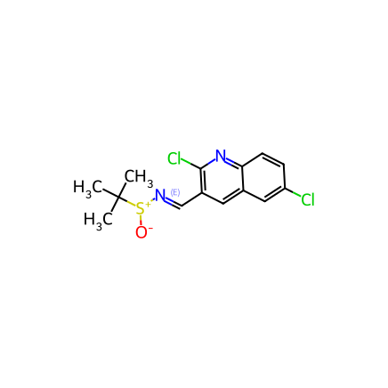 CC(C)(C)[S+]([O-])/N=C/c1cc2cc(Cl)ccc2nc1Cl